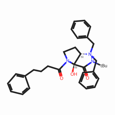 CC(C)(C)NC(=O)[C@@]1(O)[C@@H](N(Cc2ccccc2)Cc2ccccc2)CCN1C(=O)CCCc1ccccc1